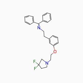 FC1(F)CCN(CCOc2cccc(CCN=C(c3ccccc3)c3ccccc3)c2)C1